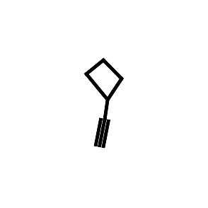 C#CC1CCC1